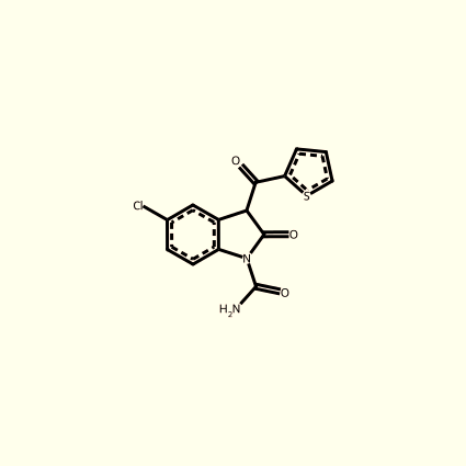 NC(=O)N1C(=O)C(C(=O)c2cccs2)c2cc(Cl)ccc21